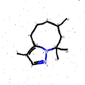 Cc1cnn2c1CCCC(C)CC2(C)C